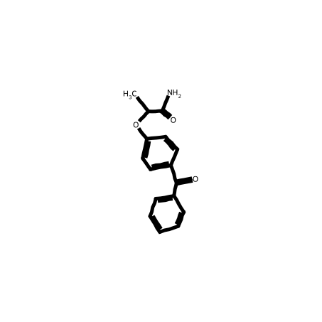 CC(Oc1ccc(C(=O)c2ccccc2)cc1)C(N)=O